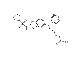 O=C(O)CCCC=C(c1cccnc1)c1ccc2c(c1)CC(NS(=O)(=O)c1cccs1)C2